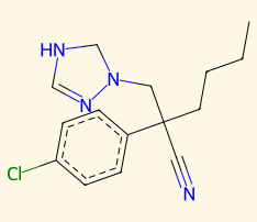 CCCCC(C#N)(CN1CNC=N1)c1ccc(Cl)cc1